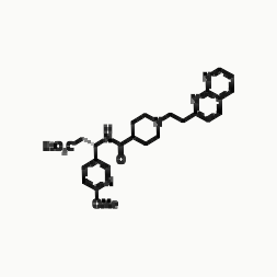 CCOC(=O)C[C@H](NC(=O)C1CCN(CCc2ccc3cccnc3n2)CC1)c1ccc(OC)nc1